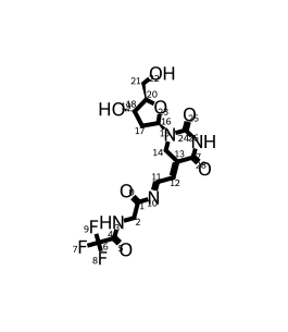 O=C(CNC(=O)C(F)(F)F)N=CC=C1CN([C@H]2C[C@H](O)[C@@H](CO)O2)C(=O)NC1=O